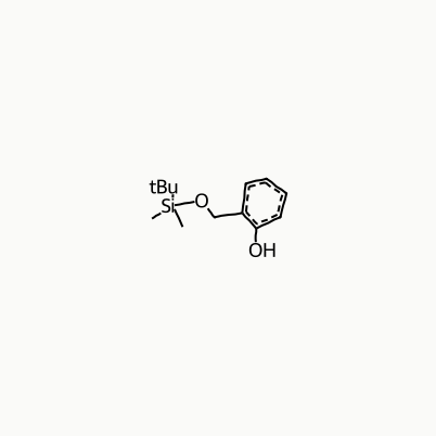 CC(C)(C)[Si](C)(C)OCc1ccccc1O